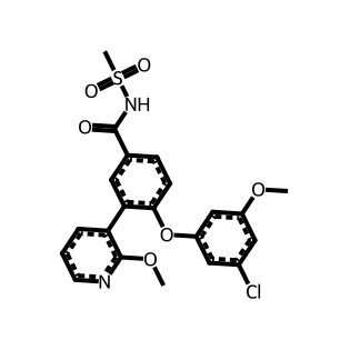 COc1cc(Cl)cc(Oc2ccc(C(=O)NS(C)(=O)=O)cc2-c2cccnc2OC)c1